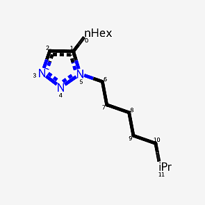 CCCCCCc1cnnn1CCCCCC(C)C